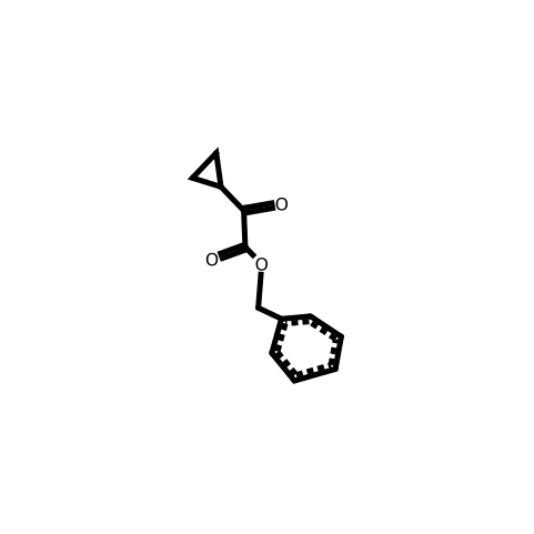 O=C(OCc1ccccc1)C(=O)C1CC1